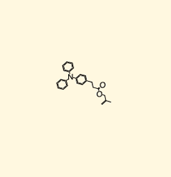 C=C(C)COC(=O)CCc1ccc(N(c2ccccc2)c2ccccc2)cc1